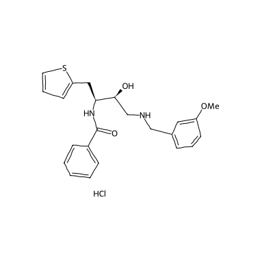 COc1cccc(CNC[C@H](O)[C@H](Cc2cccs2)NC(=O)c2ccccc2)c1.Cl